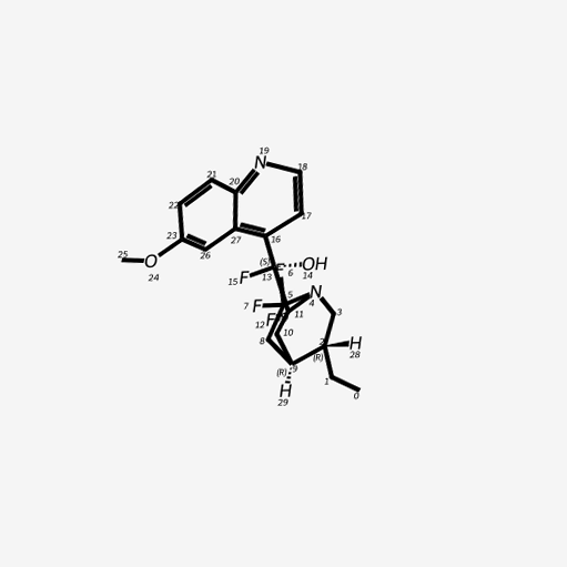 CC[C@H]1CN2C(F)(F)C[C@H]1C[C@@]2(F)[C@@](O)(F)c1ccnc2ccc(OC)cc12